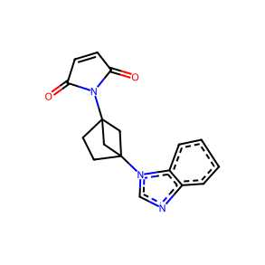 O=C1C=CC(=O)N1C12CCC(n3cnc4ccccc43)(C1)C2